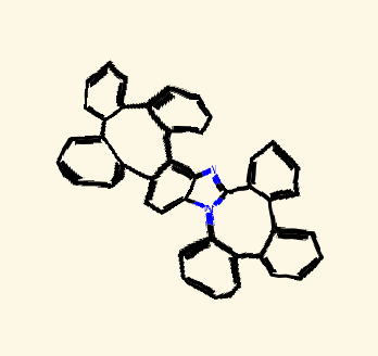 c1ccc2c(c1)c1ccccc1c1ccc3c(nc4c5ccccc5c5ccccc5c5ccccc5n34)c1c1ccccc21